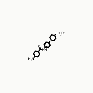 CCOC(=O)C1CCN(c2ccc(NC(=O)C3CCC(N)CC3)cc2)CC1